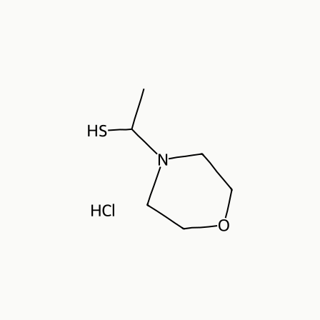 CC(S)N1CCOCC1.Cl